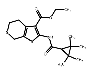 CCOC(=O)c1c(NC(=O)C2C(C)(C)C2(C)C)sc2c1CCSC2